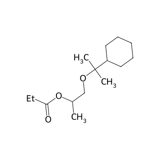 CCC(=O)OC(C)COC(C)(C)C1CCCCC1